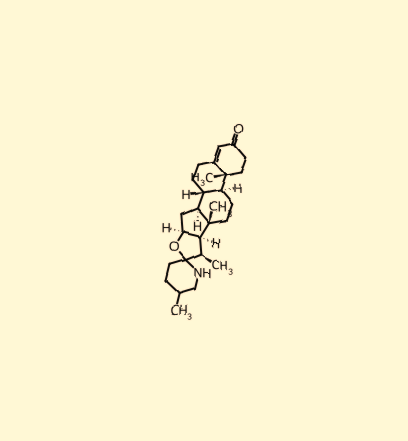 CC1CCC2(NC1)O[C@H]1C[C@H]3[C@@H]4CCC5=CC(=O)CC[C@]5(C)[C@H]4CC[C@]3(C)[C@H]1[C@H]2C